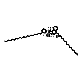 CCCCCCCCCCCCCCCCCCCCc1cccc(OC(=O)c2c(O)c(O)c(CCCCCCCCCCCCCCCC)c3ccccc23)c1O